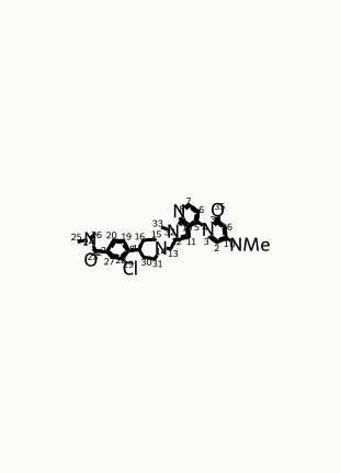 CNc1ccn(-c2ccnc3c2cc(CN2CCC(c4ccc(C(=O)N(C)C)cc4Cl)CC2)n3C)c(=O)c1